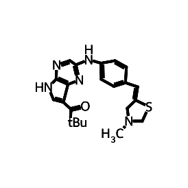 CN1CSC(=Cc2ccc(Nc3cnc4[nH]cc(C(=O)C(C)(C)C)c4n3)cc2)C1